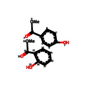 COC(=O)c1ccc(O)cc1.COC(=O)c1ccccc1O